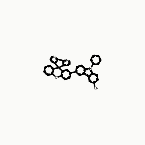 N#Cc1ccc2c(c1)c1cc(-c3ccc4c(c3)C3(c5ccccc5O4)c4cccnc4-c4ncccc43)ccc1n2-c1ccccc1